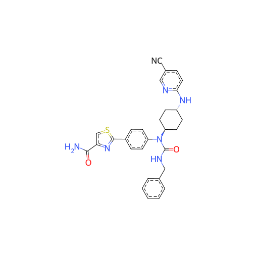 N#Cc1ccc(N[C@H]2CC[C@H](N(C(=O)NCc3ccccc3)c3ccc(-c4nc(C(N)=O)cs4)cc3)CC2)nc1